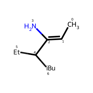 C/C=C(\N)C(CC)C(C)CC